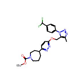 Cc1nnn(-c2ccc(C(F)F)cc2)c1COc1ccc(C2CCCN(C(=O)OC(C)(C)C)CC2)nn1